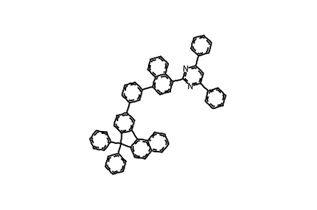 c1ccc(-c2cc(-c3ccccc3)nc(-c3ccc(-c4cccc(-c5ccc6c(c5)-c5c(ccc7ccccc57)C6(c5ccccc5)c5ccccc5)c4)c4ccccc34)n2)cc1